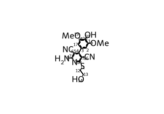 COc1cc(-c2c(C#N)c(N)nc(SCCO)c2C#N)cc(OC)c1O